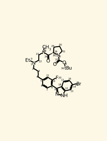 CCN(CCCc1ccc(-c2n[nH]c3cc(Br)ccc23)c(F)c1)CCN(C)C(=O)[C@H]1CCCN1C(=O)OC(C)(C)C